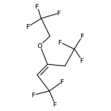 FC(F)(F)/C=C(\CC(F)(F)F)OCC(F)(F)F